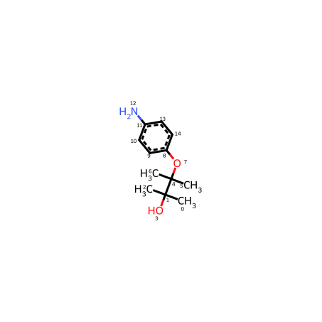 CC(C)(O)C(C)(C)Oc1ccc(N)cc1